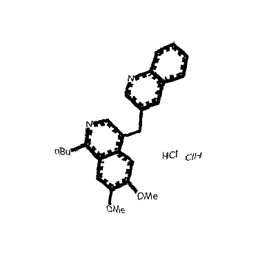 CCCCc1ncc(Cc2cnc3ccccc3c2)c2cc(OC)c(OC)cc12.Cl.Cl